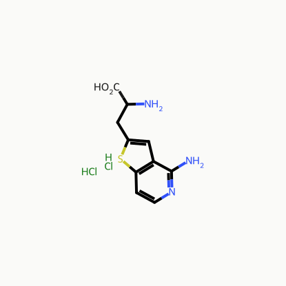 Cl.Cl.Nc1nccc2sc(CC(N)C(=O)O)cc12